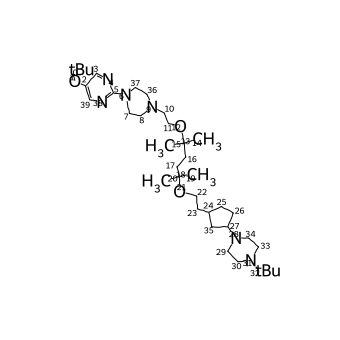 CC(C)(C)Oc1cnc(N2CCN(CCOC(C)(C)CCC(C)(C)OCCC3CCC(N4CCN(C(C)(C)C)CC4)C3)CC2)nc1